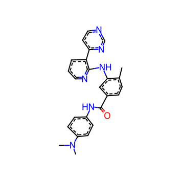 Cc1ccc(C(=O)Nc2ccc(N(C)C)cc2)cc1Nc1ncccc1-c1ccncn1